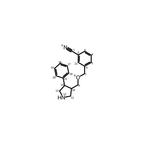 N#Cc1cccc(COCC2CNCC2c2ccccc2)c1